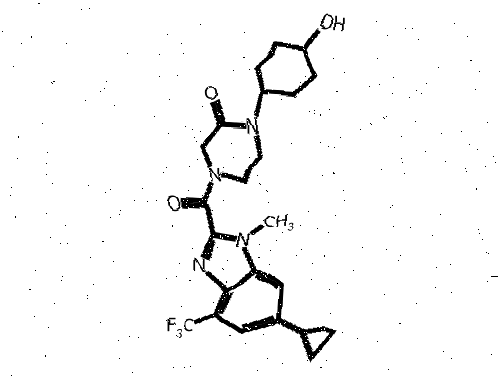 Cn1c(C(=O)N2CCN(C3CCC(O)CC3)C(=O)C2)nc2c(C(F)(F)F)cc(C3CC3)cc21